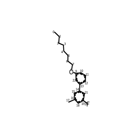 CCCCCCCCOc1cccc(-c2cc(C)cc(F)c2)c1